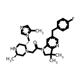 Cc1cncn1C[C@H]1CN[C@H](C)CN1CC(=O)N1CC(C)(C)c2ncc(Cc3ccc(F)cc3)cc21